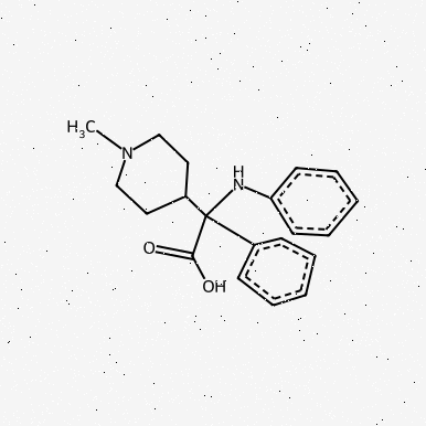 CN1CCC(C(Nc2ccccc2)(C(=O)O)c2ccccc2)CC1